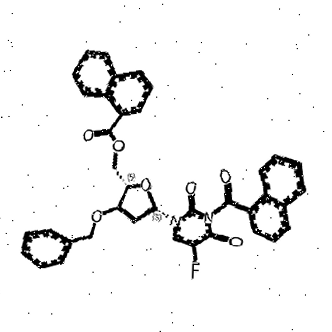 O=C(OC[C@@H]1O[C@H](n2cc(F)c(=O)n(C(=O)c3cccc4ccccc34)c2=O)CC1OCc1ccccc1)c1cccc2ccccc12